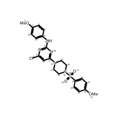 COc1ccc(Nc2nc(Cl)cc(N3CCN(S(=O)(=O)c4ccc(OC)cc4)CC3)n2)cc1